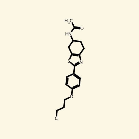 CC(=O)NC1CCc2nc(-c3ccc(OCCCCl)cc3)sc2C1